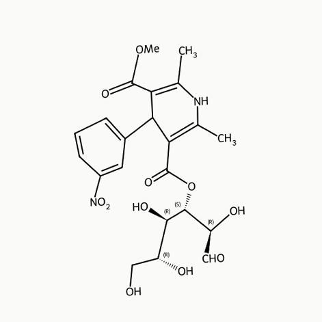 COC(=O)C1=C(C)NC(C)=C(C(=O)O[C@@H]([C@H](O)[C@H](O)CO)[C@@H](O)C=O)C1c1cccc([N+](=O)[O-])c1